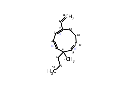 C=C/C1=C/C=C\C(C)(CCC)/C=P\CC1